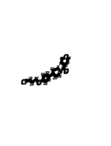 O=C(C1CCOCC1)N1CCC(c2ccc(OCCCCl)cc2)CC1